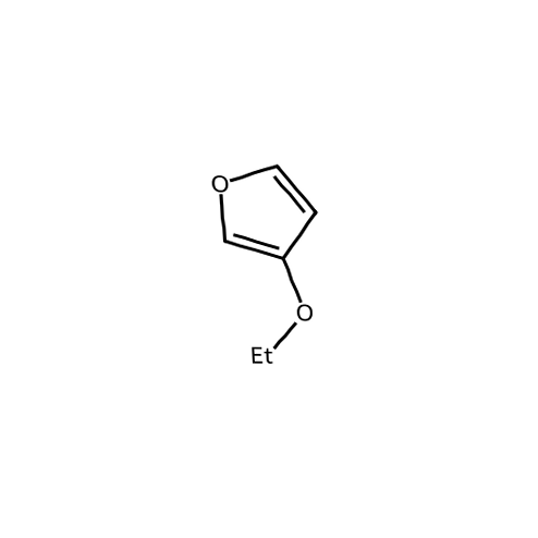 [CH2]COc1ccoc1